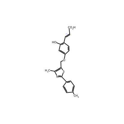 Cc1ccc(-c2nc(C)c(COc3ccc(/C=C/C(=O)O)c(O)c3)s2)cc1